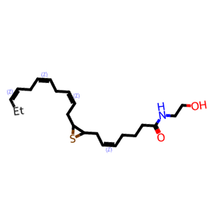 CC/C=C\C/C=C\C/C=C\CC1SC1C/C=C\CCCC(=O)NCCO